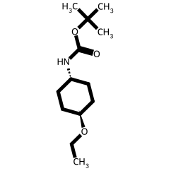 CCO[C@H]1CC[C@H](NC(=O)OC(C)(C)C)CC1